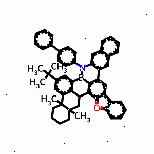 CC(C)(C)c1cc2c3c(c1)C1(C)CCCCC1(C)CC3c1c3c(cc4c1oc1ccccc14)-c1cc4ccccc4cc1N(c1ccc(-c4ccccc4)cc1)B23